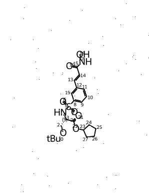 CC(C)(C)OC[C@H](NS(=O)(=O)c1cccc(C=CC(=O)NO)c1)C(=O)OC1CCCC1